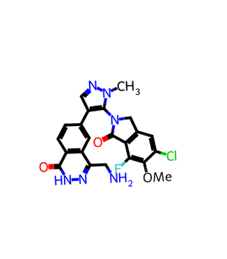 COc1c(Cl)cc2c(c1F)C(=O)N(c1c(-c3ccc4c(=O)[nH]nc(CN)c4c3)cnn1C)C2